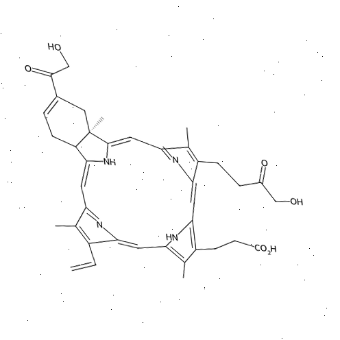 C=CC1=C(C)c2cc3[nH]c(cc4nc(cc5[nH]c(cc1n2)c(C)c5CCC(=O)O)C(CCC(=O)CO)=C4C)[C@]1(C)CC(C(=O)CO)=CCC31